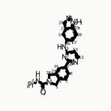 CC(C)NC(=O)N1Cc2ccc(-c3nccc(Nc4ccc5[nH]ncc5c4)n3)cc2C1